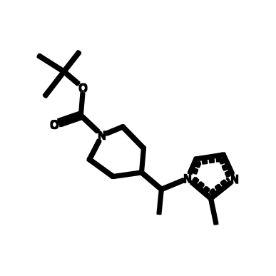 Cc1nccn1C(C)C1CCN(C(=O)OC(C)(C)C)CC1